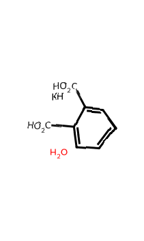 O.O=C(O)c1ccccc1C(=O)O.[KH]